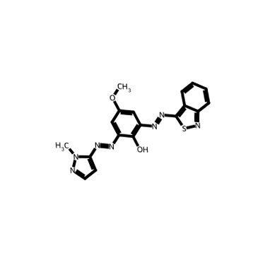 COc1cc(/N=N/c2snc3ccccc23)c(O)c(/N=N/c2ccnn2C)c1